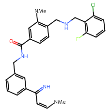 CN/C=C\C(=N)c1cccc(CNC(=O)c2ccc(CNCc3c(F)cccc3Cl)c(NC)c2)c1